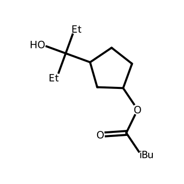 CCC(C)C(=O)OC1CCC(C(O)(CC)CC)C1